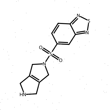 O=S(=O)(c1ccc2nsnc2c1)N1CC2=C(CNC2)C1